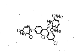 COC1=CC=NC(OC)(SC(c2ccc(Cl)cc2)c2ccc(-n3ncc(=O)[nH]c3=O)cc2Cl)N1